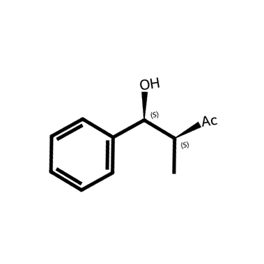 CC(=O)[C@@H](C)[C@H](O)c1ccccc1